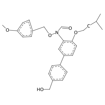 COc1ccc(CON(C=O)c2cc(-c3ccc(CO)cc3)ccc2OCCC(C)C)cc1